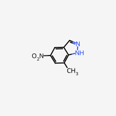 Cc1cc([N+](=O)[O-])cc2cn[nH]c12